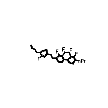 C=CCCc1ccc(CCc2ccc3c(c2F)C(F)C(F)c2c-3ccc(CCC)c2F)cc1F